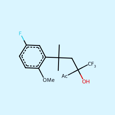 COc1ccc(F)cc1C(C)(C)CC(O)(C(C)=O)C(F)(F)F